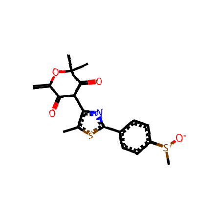 C=C1OC(C)(C)C(=O)C(c2nc(-c3ccc([S+](C)[O-])cc3)sc2C)C1=O